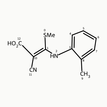 CS/C(Nc1ccccc1C)=C(/C#N)C(=O)O